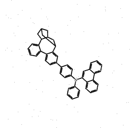 c1ccc(N(c2ccc(-c3ccc4c(c3)C3CC5CC(C3)C(C5)c3ccccc3-4)cc2)c2cc3ccccc3c3ccccc23)cc1